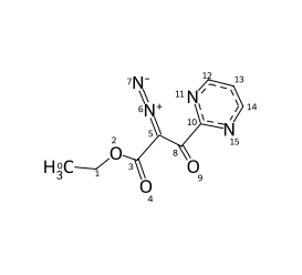 CCOC(=O)C(=[N+]=[N-])C(=O)c1ncccn1